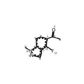 CC(=O)c1ccc2c(cnn2C)c1F